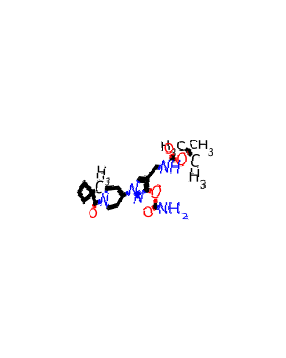 CC(C)(C)OC(=O)NCc1cn(C2CCN(C(=O)C3(C)CCC3)CC2)nc1OC(N)=O